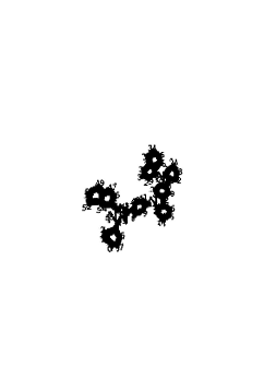 c1ccc(-c2nc(-c3ccc(-n4c5ccccc5c5cc6c7ccccc7n(-c7cccc8ccccc78)c6cc54)cc3)nc(-c3ccc4ccccc4c3)n2)cc1